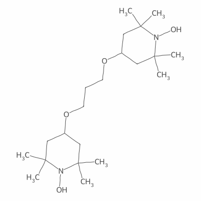 CC1(C)CC(OCCCOC2CC(C)(C)N(O)C(C)(C)C2)CC(C)(C)N1O